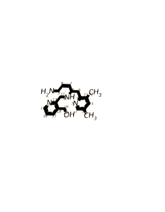 Cc1cnc(CC(/C=C\CN)NCc2ncccc2CO)c(C)c1